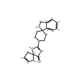 O=C1N=C(N2CCC3(CC2)OCc2ccccc23)OC12CC=CC2